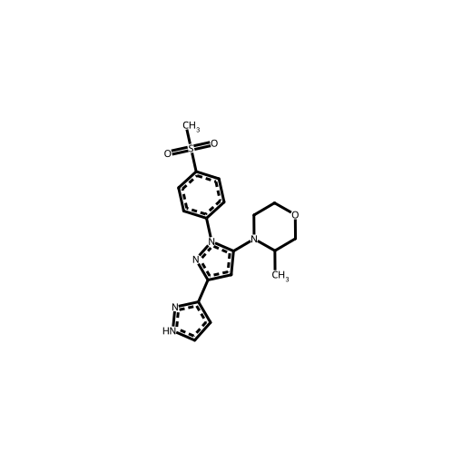 CC1COCCN1c1cc(-c2cc[nH]n2)nn1-c1ccc(S(C)(=O)=O)cc1